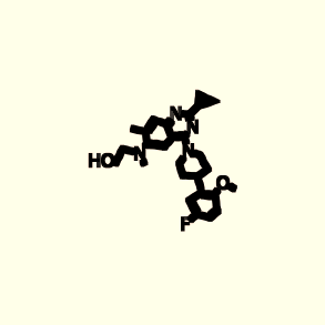 COc1ccc(F)cc1C1CCN(c2nc(C3CC3)nc3cc(C)c(N(C)CCO)cc23)CC1